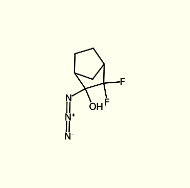 [N-]=[N+]=NC1(O)C2CCC(C2)C1(F)F